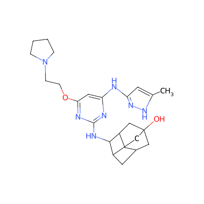 Cc1cc(Nc2cc(OCCN3CCCC3)nc(NC3C4CC5CC3CC(O)(C5)C4)n2)n[nH]1